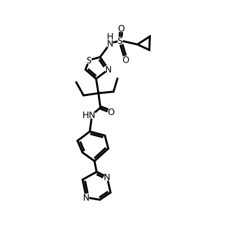 CCC(CC)(C(=O)Nc1ccc(-c2cnccn2)cc1)c1csc(NS(=O)(=O)C2CC2)n1